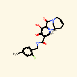 Cc1ccc(CNC(=O)c2cn3c(c(O)c2=O)C(=O)N2CC=CC[C@@]3(C)C2)c(F)c1